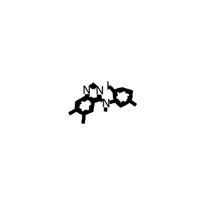 Cc1ccc(I)c(N(C)c2ncnc3cc(C)c(C)cc23)c1